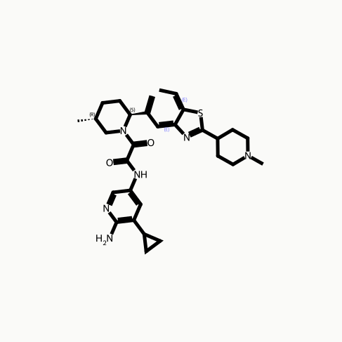 C=C(/C=c1/nc(C2CCN(C)CC2)s/c1=C/C)[C@@H]1CC[C@@H](C)CN1C(=O)C(=O)Nc1cnc(N)c(C2CC2)c1